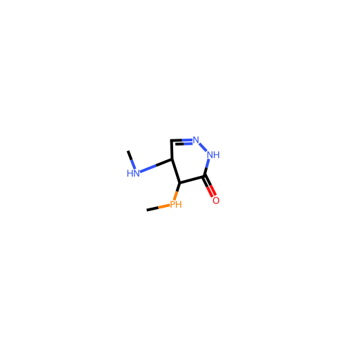 CNC1C=NNC(=O)C1PC